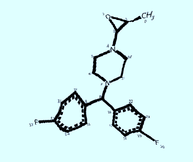 C[C@@H]1OC1N1CCN(C(c2ccc(F)cc2)c2ccc(F)cc2)CC1